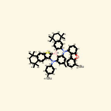 Cc1cc2c3c(c1)N(c1cccc4oc5c(C(C)(C)C)cccc5c14)c1cc4c(cc1B3c1sc3cc5c(cc3c1N2c1ccc(C(C)(C)C)cc1)C(C)(C)CCC5(C)C)C(C)(C)CCC4(C)C